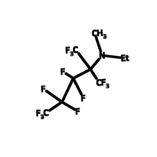 CCN(C)C(C(F)(F)F)(C(F)(F)F)C(F)(F)C(F)(F)C(F)(F)F